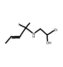 CC=CC(C)(I)NCC(O)CC